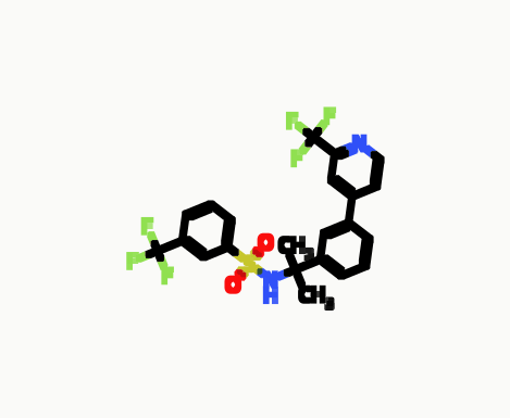 CC(C)(NS(=O)(=O)c1cccc(C(F)(F)F)c1)c1cccc(-c2ccnc(C(F)(F)F)c2)c1